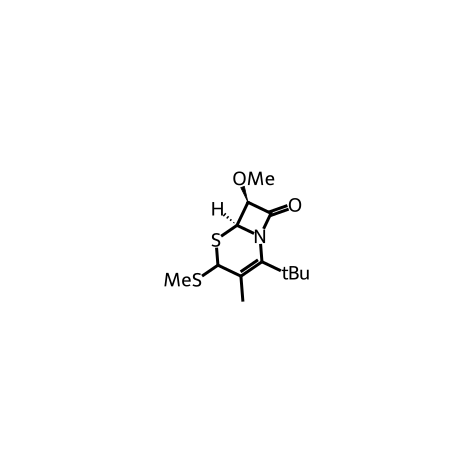 CO[C@H]1C(=O)N2C(C(C)(C)C)=C(C)C(SC)S[C@@H]12